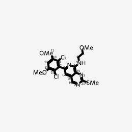 COCCNc1nc(-c2c(Cl)c(OC)cc(OC)c2Cl)cc2cnc(SC)nc12